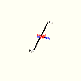 CCCCCCCCCCCCCCCCCC(O)(NC(=O)CCCCCCCCCCCCCCC)OP(=O)(O)OCCN